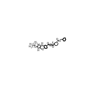 CC(C)(C)OC(=O)N[C@H]1CSc2ccc(C(=O)NNC(=O)C3(F)CCCN(C(=O)OCc4ccccc4)C3)cc2NC1=O